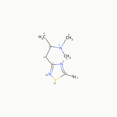 [2H]c1nc(CC(C)N(C)C)ns1